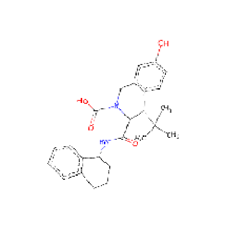 CC(C)(C)[C@H]1c2ccc(O)cc2CN(C(=O)O)C1C(=O)N[C@@H]1CCCc2ccccc21